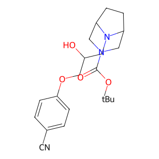 CC(C)(C)OC(=O)N1CC2CCC(C1)N2CC(O)COc1ccc(C#N)cc1